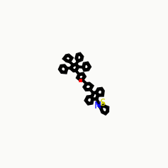 c1ccc(-c2cc(-c3ccc(-c4ccc(-c5c6ccccc6c(-c6nc7ccccc7s6)c6ccccc56)cc4)cc3)c(-c3ccccc3)c(-c3ccccc3)c2-c2ccccc2)cc1